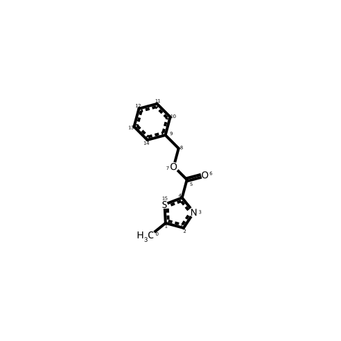 Cc1cnc(C(=O)OCc2ccccc2)s1